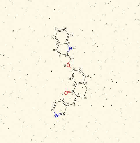 O=C1C(=Cc2cccnc2)CCc2ccc(OCc3ccc4ccccc4n3)cc21